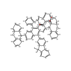 CC1(C)c2ccccc2-c2ccc(-c3c4cc(N5c6ccccc6Oc6ccccc65)ccc4c(-c4ccccc4-c4ccc5ccccc5c4)c4cc(N5c6ccccc6Oc6ccccc65)ccc34)cc21